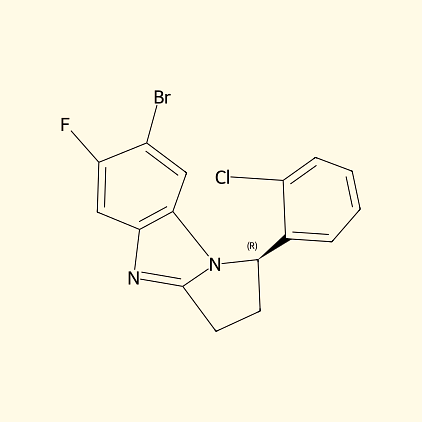 Fc1cc2nc3n(c2cc1Br)[C@@H](c1ccccc1Cl)CC3